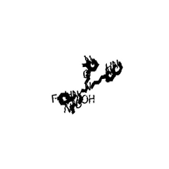 Cc1nc(N[C@@H](CCN(CCCCc2ccc3c(n2)NCCC3)CCOc2cccnc2C)C(=O)O)c2ccc(F)cc2n1